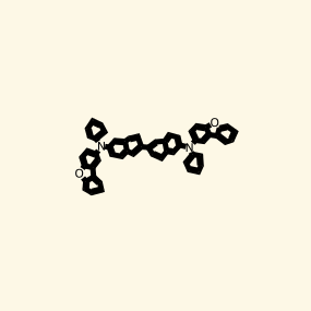 c1ccc(N(c2ccc3cc(-c4ccc5cc(N(c6ccccc6)c6ccc7oc8ccccc8c7c6)ccc5c4)ccc3c2)c2ccc3oc4ccccc4c3c2)cc1